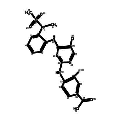 CN(c1ccccc1Nc1nc(Nc2ccc(C(=O)O)cc2F)ncc1Cl)S(C)(=O)=O